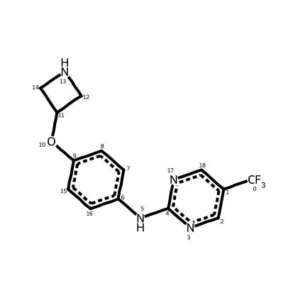 FC(F)(F)c1cnc(Nc2ccc(OC3CNC3)cc2)nc1